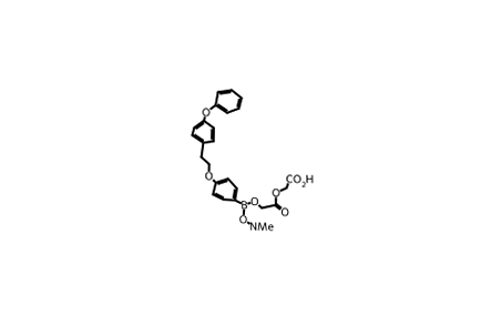 CNOB(OCC(=O)OCC(=O)O)c1ccc(OCCc2ccc(Oc3ccccc3)cc2)cc1